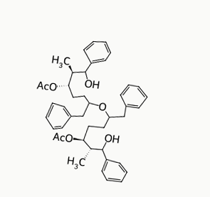 CC(=O)O[C@@H](CCC(Cc1ccccc1)OC(CC[C@H](OC(C)=O)[C@@H](C)C(O)c1ccccc1)Cc1ccccc1)[C@@H](C)C(O)c1ccccc1